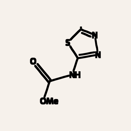 COC(=O)Nc1nn[c]s1